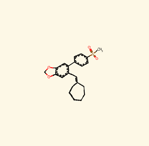 CS(=O)(=O)c1ccc(-c2cc3c(cc2C=C2CCCCCC2)OCO3)cc1